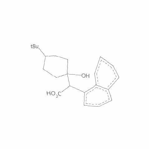 CC(C)(C)C1CCC(O)(C(C(=O)O)c2cccc3ccccc23)CC1